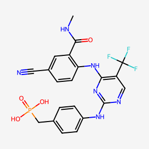 CNC(=O)c1cc(C#N)ccc1Nc1nc(Nc2ccc(CP(=O)(O)O)cc2)ncc1C(F)(F)F